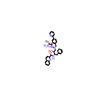 CC(C)(C)C(N)C(=O)NN(Cc1ccc(-c2ccccn2)cc1)CC(O)C(CC1=CC#CCC1)NC(=O)c1ccc2ccccc2n1